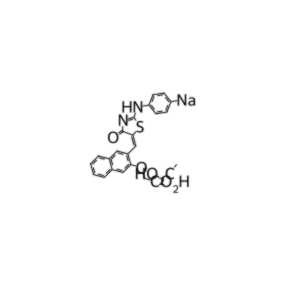 CC(=O)O.O=C(O)COc1cc2ccccc2cc1/C=C1/SC(Nc2cc[c]([Na])cc2)=NC1=O